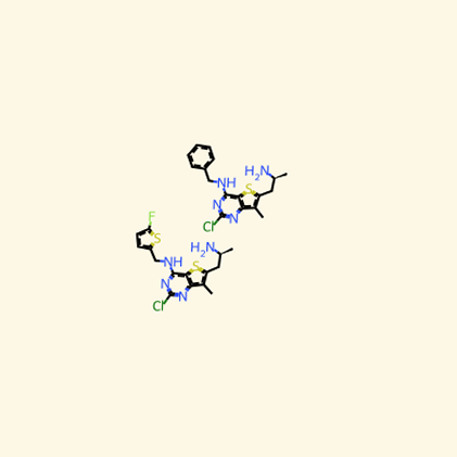 Cc1c(C[C@H](C)N)sc2c(NCc3ccc(F)s3)nc(Cl)nc12.Cc1c(C[C@H](C)N)sc2c(NCc3ccccc3)nc(Cl)nc12